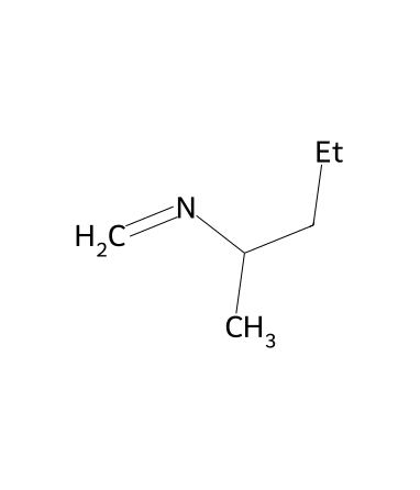 C=NC(C)CCC